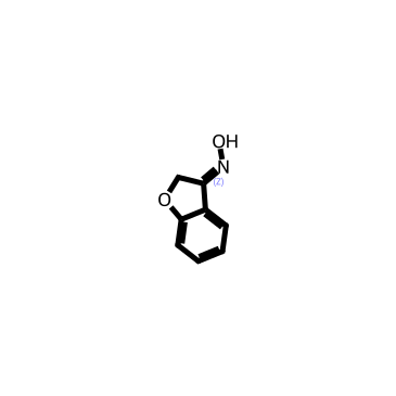 O/N=C1\COc2ccccc21